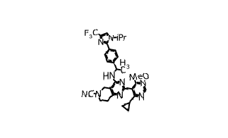 COc1ncnc(C2CC2)c1-c1nc2c(c(NC(C)c3ccc(-c4nc(C(F)(F)F)cn4C(C)C)cc3)n1)CN(C#N)CC2